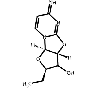 CC[C@H]1O[C@@H]2[C@H](Oc3nc(=N)ccn32)C1O